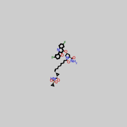 NC(=O)[C@@H]1C[C@@H](Oc2c3cc(F)ccc3nc3c2oc2ccc(F)cc23)CN1C(=O)CCCCCC/C=C\[C@@H]1C[C@@H]1C(=O)NS(=O)(=O)C1CC1